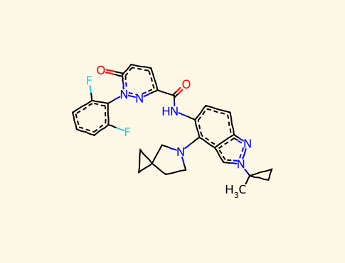 CC1(n2cc3c(N4CCC5(CC5)C4)c(NC(=O)c4ccc(=O)n(-c5c(F)cccc5F)n4)ccc3n2)CC1